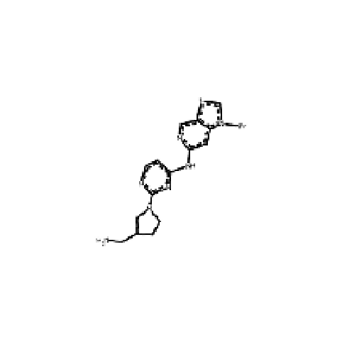 CC(C)n1cnc2cnc(Nc3ccnc(N4CCC(CN)C4)n3)cc21